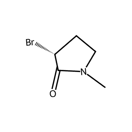 CN1CC[C@@H](Br)C1=O